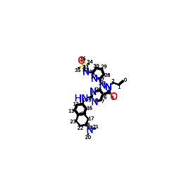 C=CCn1c(=O)c2cnc(Nc3ccc4c(c3)CC(N(C)C)CC4)nc2n1-c1cccc(N=S(C)(C)=O)n1